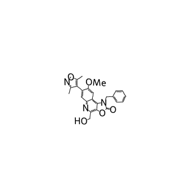 COc1cc2c(cc1-c1c(C)noc1C)nc(CO)c1oc(=O)n(Cc3ccccc3)c12